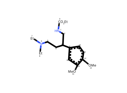 CCOC(=O)NCC(CCN(CC)CC)c1ccc(OC)c(OC)c1